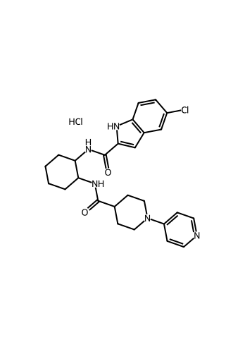 Cl.O=C(NC1CCCCC1NC(=O)C1CCN(c2ccncc2)CC1)c1cc2cc(Cl)ccc2[nH]1